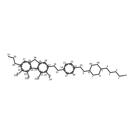 CCCCCC1CCC(CCc2ccc(CCc3cc4c(c(F)c3F)-c3c(cc(CCC)c(F)c3F)C4)cc2)CC1